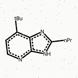 CCCc1nc2c(C(C)(C)C)ccnc2[nH]1